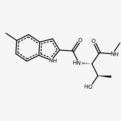 CNC(=O)[C@@H](NC(=O)c1cc2cc(C)ccc2[nH]1)[C@@H](C)O